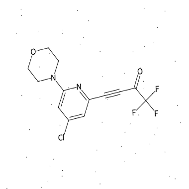 O=C(C#Cc1cc(Cl)cc(N2CCOCC2)n1)C(F)(F)F